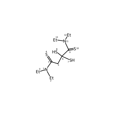 CCN(CC)C(=S)CC(S)(S)C(=S)N(CC)CC